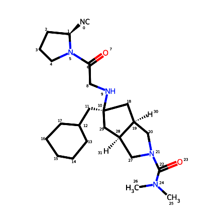 [C-]#[N+][C@@H]1CCCN1C(=O)CN[C@@]1(CC2CCCCC2)C[C@H]2CN(C(=O)N(C)C)C[C@H]2C1